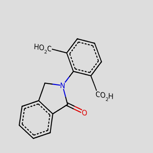 O=C(O)c1cccc(C(=O)O)c1N1Cc2ccccc2C1=O